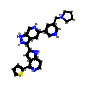 c1csc(-c2nccc3[nH]c(-c4n[nH]c5cnc(-c6cncc(CN7CCCC7)c6)cc45)cc23)c1